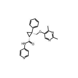 Cc1ncc(OC[C@@]2(c3ccccc3)C[C@H]2C(=O)Nc2ccncc2)c(C)n1